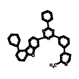 Cc1cc(-c2cccc(-c3nc(-c4ccccc4)nc(-c4ccc5c(c4)oc4cccc(-c6ccccc6)c45)n3)c2)ccn1